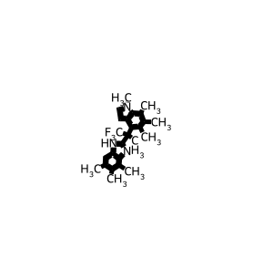 Cc1cc2[nH]c(C(C)(c3c(C)c(C)c(C)c4c3ccn4C)C(F)(F)F)nc2c(C)c1C